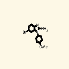 COc1ccc(-n2c(N)nc3ccc(Br)cc32)cc1